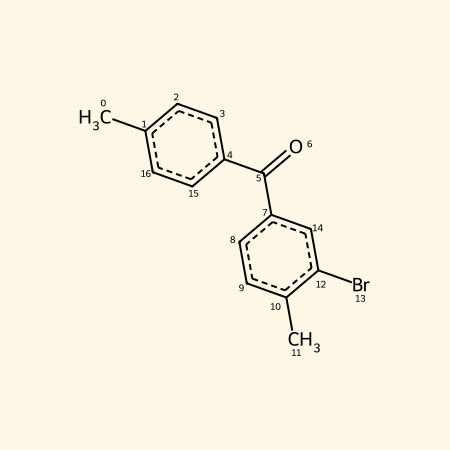 Cc1ccc(C(=O)c2ccc(C)c(Br)c2)cc1